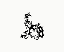 C=CC(=O)N1CCN(c2nc(OC[C@@H]3CCCN3C)nc3c2CCN(c2c(F)ccc4c2N(C)C(=O)CC4)C3)C[C@@H]1CC#N